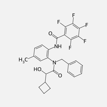 Cc1ccc(NC(=O)c2c(F)c(F)c(F)c(F)c2F)c(N(Cc2ccccc2)C(=O)C(O)C2CCC2)c1